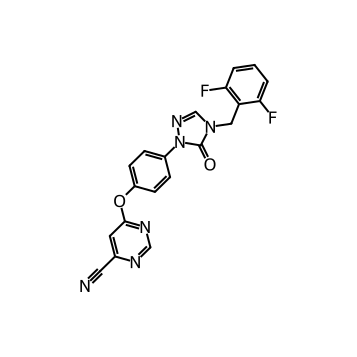 N#Cc1cc(Oc2ccc(-n3ncn(Cc4c(F)cccc4F)c3=O)cc2)ncn1